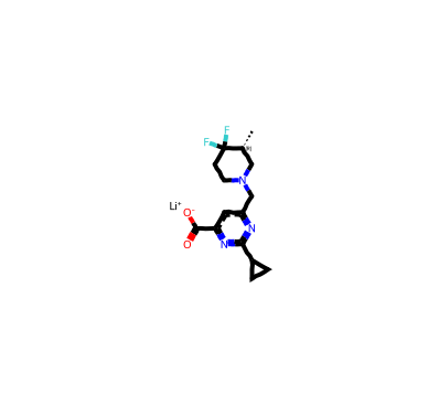 C[C@@H]1CN(Cc2cc(C(=O)[O-])nc(C3CC3)n2)CCC1(F)F.[Li+]